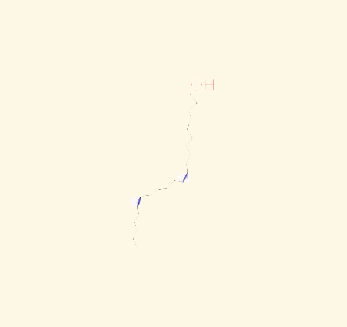 CCCCC/C=C\CCCC/C=C\CCCCCCCCCO